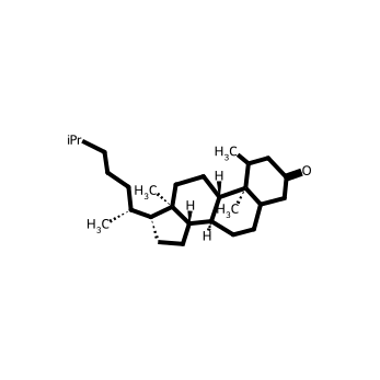 CC(C)CCC[C@@H](C)[C@H]1CC[C@H]2[C@@H]3CCC4CC(=O)CC(C)[C@]4(C)[C@H]3CC[C@]12C